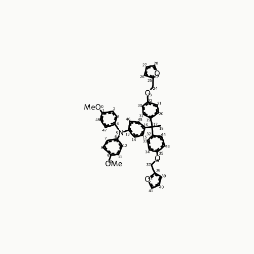 COc1ccc(N(c2ccc(OC)cc2)c2ccc(C(C)(c3ccc(OCc4ccco4)cc3)c3ccc(OCc4ccco4)cc3)cc2)cc1